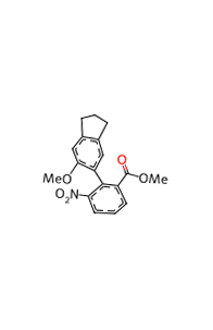 COC(=O)c1cccc([N+](=O)[O-])c1-c1cc2c(cc1OC)CCC2